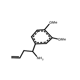 C=CCC(N)c1ccc(OC)c(OC)c1